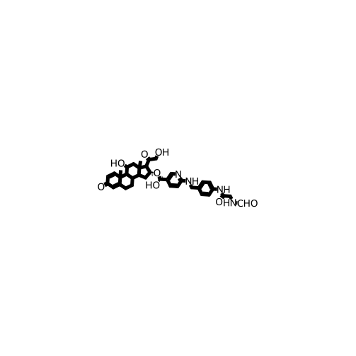 CC12C=CC(=O)C=C1CCC1C2C(O)CC2(C)C1C[C@@H](O[C@H](O)c1ccc(NCc3ccc(NC(=O)CNC=O)cc3)nc1)C2C(=O)CO